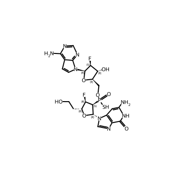 Nc1cc2c(ncn2[C@@H]2O[C@H](CCO)[C@@H](F)[C@H]2P(=O)(S)OC[C@H]2O[C@@H](n3ccc4c(N)ncnc43)[C@@H](F)[C@@H]2O)c(=O)[nH]1